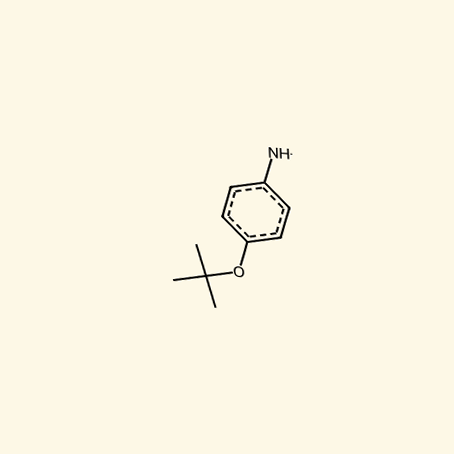 CC(C)(C)Oc1ccc([NH])cc1